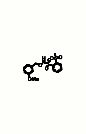 COc1cccc(CONS(=O)(=O)c2ccccc2S(C)(=O)=O)c1